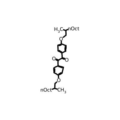 CCCCCCCCC(C)COc1ccc(C(=O)C(=O)c2ccc(OCC(C)CCCCCCCC)cc2)cc1